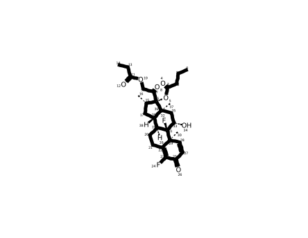 CCCC(=O)O[C@@]1(C(=O)COC(=O)CC)[C@@H](C)C[C@H]2[C@@H]3CCC4=C(F)C(=O)C=C[C@]4(C)[C@@]3(F)[C@@H](O)C[C@@]21C